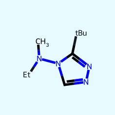 CCN(C)n1cnnc1C(C)(C)C